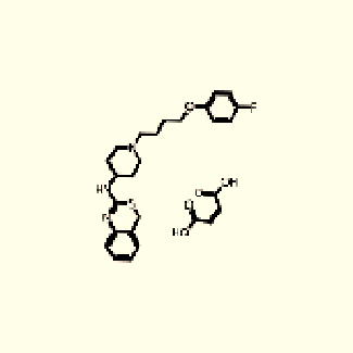 Fc1ccc(OCCCCN2CCC(NC3=Nc4ccccc4CS3)CC2)cc1.O=C(O)/C=C\C(=O)O